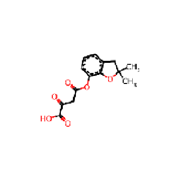 CC1(C)Cc2cccc(OC(=O)CC(=O)C(=O)O)c2O1